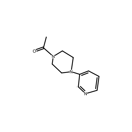 CC(=O)N1CCN(c2[c]nccc2)CC1